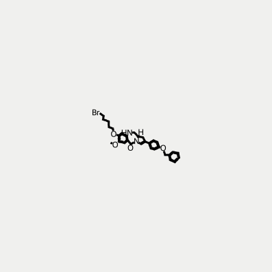 COc1cc2c(cc1OCCCCCBr)NC[C@@H]1CC(c3ccc(OCc4ccccc4)cc3)=CN1C2=O